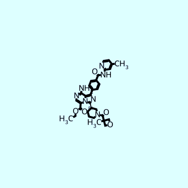 CCOC(=O)c1cnc(N)c2c(-c3ccc(C(=O)Nc4cc(C)ccn4)cc3)nc([C@@H]3CCCN(C(=O)C4(C)COC4)C3)n12